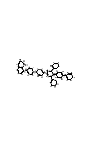 C1=CCCC(C2=NC(C3=CCC(c4ccc(-c5cccc6c5NCC=C6)cc4)C=C3)=NC(C3=CCCCC3)C2c2ccc(C3=CCCC=C3)cc2)=C1